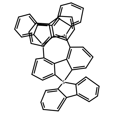 c1ccc2c(c1)-c1ccccc1S21c2cccc(-n3c4ccccc4c4ccccc43)c2-c2c(-n3c4ccccc4c4ccccc43)cccc21